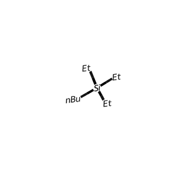 [CH2]CCC[Si](CC)(CC)CC